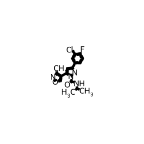 Cc1nocc1-c1cc(-c2ccc(F)c(Cl)c2)nn1C(=O)NC(C)C